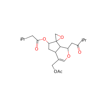 CC(=O)OCC1=COC(CC(=O)C(C)C)C2C1CC(OC(=O)CC(C)C)C21CO1